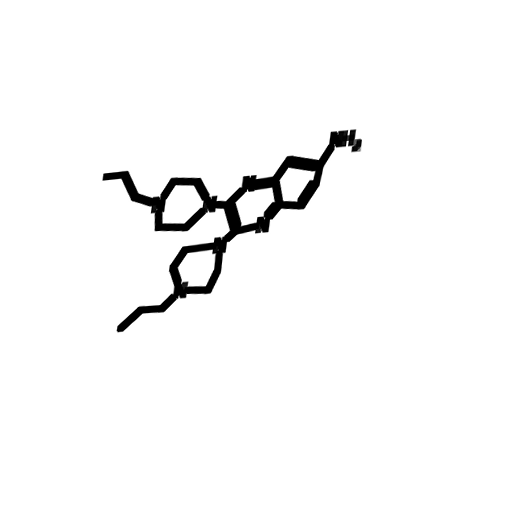 CCCN1CCN(c2nc3ccc(N)cc3nc2N2CCN(CCC)CC2)CC1